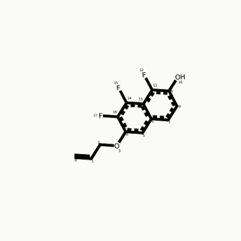 C=CCOc1cc2ccc(O)c(F)c2c(F)c1F